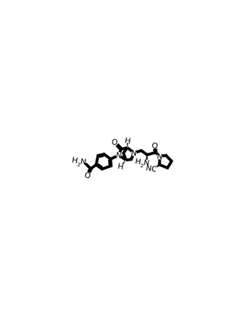 N#C[C@@H]1CCCN1C(=O)[C@@H](N)CN1C[C@@H]2C[C@H]1C(=O)N2c1ccc(C(N)=O)cc1